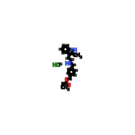 C=CC(=O)OCc1ccc(CNCCc2c(C)[nH]c3ccccc23)cc1.Cl